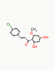 COc1cc(O)cc(O)c1C(=O)C=Cc1ccc(Cl)cc1